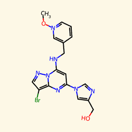 CO[n+]1cccc(CNc2cc(-n3cnc(CO)c3)nc3c(Br)cnn23)c1